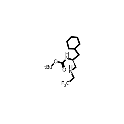 CC(C)(C)OC(=O)N[C@H](CNCC(F)(F)F)CC1CCCCC1